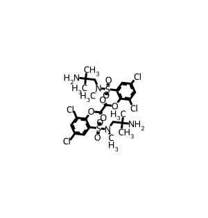 CN(CC(C)(C)N)S(=O)(=O)c1cc(Cl)cc(Cl)c1OC(=O)C(=O)Oc1c(Cl)cc(Cl)cc1S(=O)(=O)N(C)CC(C)(C)N